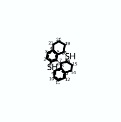 Sc1ccc2c(c1[C@H]1c3ccccc3CC[C@H]1S)CCCC2